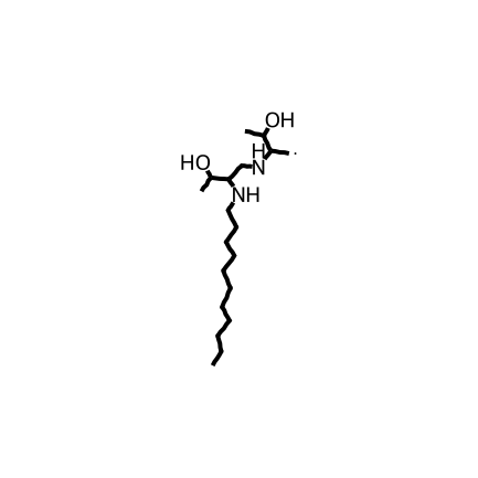 [CH2]C(NCC(NCCCCCCCCCCC)C(C)O)C(C)O